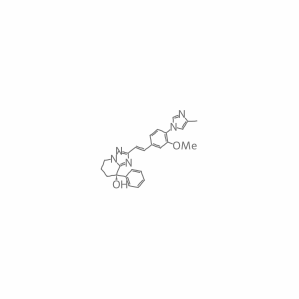 COc1cc(/C=C/c2nc3n(n2)CCC[C@@]3(O)c2ccccc2)ccc1-n1cnc(C)c1